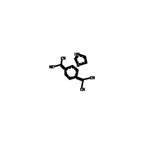 N#CC(C#N)=c1ccc(=C(C#N)C#N)cc1.c1c[nH]cn1